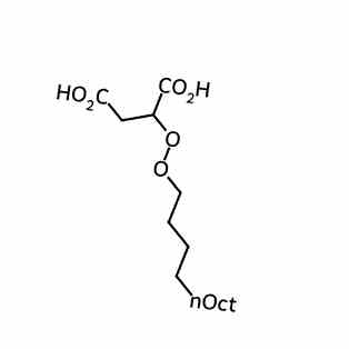 CCCCCCCCCCCCOOC(CC(=O)O)C(=O)O